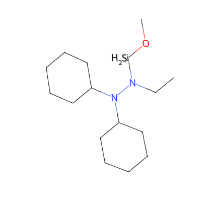 CCN([SiH2]OC)N(C1CCCCC1)C1CCCCC1